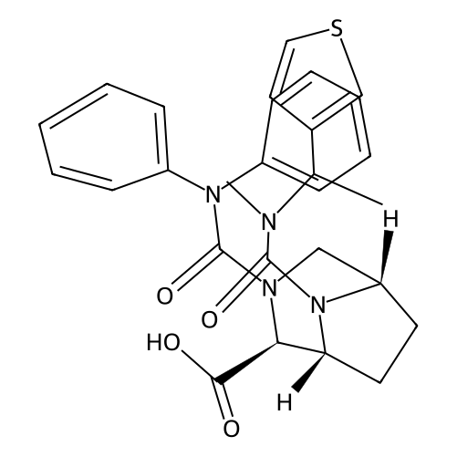 CC(c1ccsc1)N(C)C(=O)N1[C@H]2CC[C@@H]1[C@@H](C(=O)O)N(C(=O)N(c1ccccc1)c1ccccc1)C2